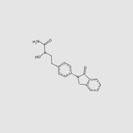 NC(=O)N(O)CCc1ccc(N2Cc3ccccc3C2=O)cc1